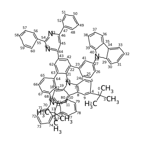 CC(C)(C)c1ccc2c(c1)c1cc(C(C)(C)C)ccc1n2-c1c(-c2cccc(-n3c4ccccc4c4ccccc43)c2)cc(-c2cc(-c3ccccc3)nc(-c3ccccc3)n2)cc1-c1cccc(-n2c3ccccc3c3ccccc32)c1